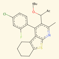 CC(=O)C(OC(C)(C)C)c1c(C)nc2sc3c(c2c1-c1ccc(Cl)cc1F)CCCC3